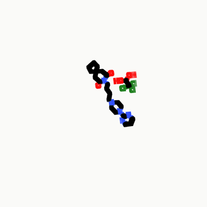 O=C1CC2(CCCC2)CC(=O)N1CCCCN1CCN(c2ncccn2)CC1.OC(O)C(Cl)(Cl)Cl